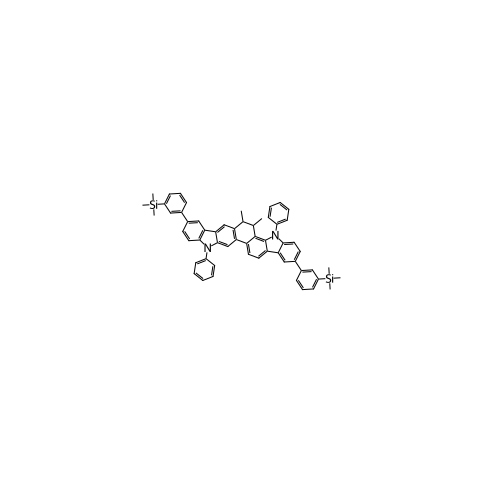 CC1c2cc3c4cc(-c5cccc([Si](C)(C)C)c5)ccc4n(-c4ccccc4)c3cc2-c2ccc3c4cc(-c5cccc([Si](C)(C)C)c5)ccc4n(-c4ccccc4)c3c2C1C